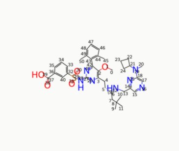 COc1c(CC[C@@H](CC(C)(C)C)NCc2cncc(N(C)C3CCC3)n2)nc(NS(=O)(=O)c2cccc(C(=O)O)c2)nc1-c1c(C)cccc1C